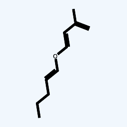 C=C(C)C=CO/C=C/CCC